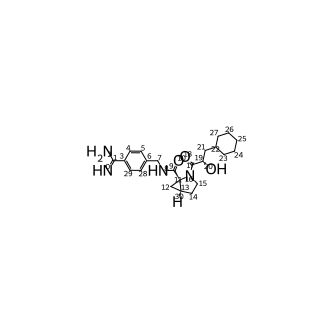 N=C(N)c1ccc(CNC(=O)[C@]23C[C@H]2CCN3C(=O)[C@H](O)CC2CCCCC2)cc1